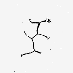 OC(F)C(F)C(F)C(F)F